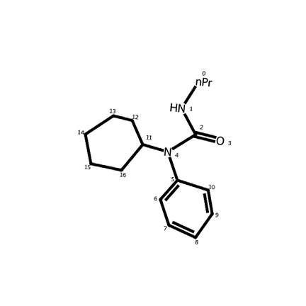 CCCNC(=O)N(c1ccccc1)C1CCCCC1